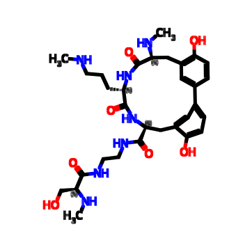 CNCCC[C@@H]1NC(=O)[C@@H](NC)Cc2cc(ccc2O)-c2ccc(O)c(c2)C[C@@H](C(=O)NCCNC(=O)[C@H](CO)NC)NC1=O